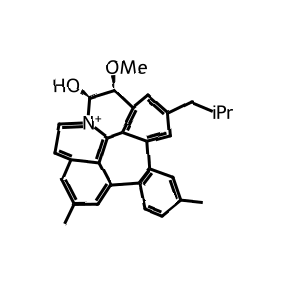 CO[C@H]1c2cc(CC(C)C)cc3c2-c2c4c(cc(C)cc4cc[n+]2[C@H]1O)-c1ccc(C)cc1-3